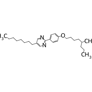 CCCCCCCCc1cnc(-c2ccc(OCCCCC(C)CCC)cc2)nc1